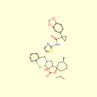 CC(C)[C@H]1CC[C@H](C)C[C@@]1(OC(=O)O)C1CCN([C@@H](c2cnc(NC(=O)C3(c4ccc5c(c4)OCO5)CC3)s2)c2ccccc2Cl)C1